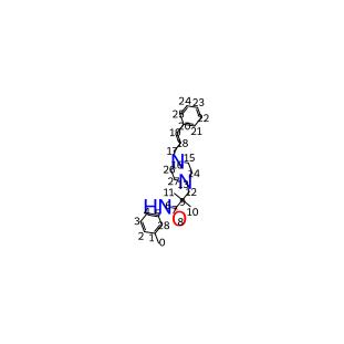 Cc1cccc(NC(=O)C(C)(C)CN2CCN(C/C=C/c3ccccc3)CC2)c1